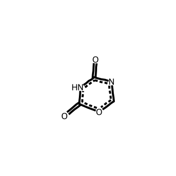 O=c1ncoc(=O)[nH]1